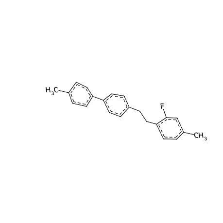 Cc1ccc(-c2ccc(CCc3ccc(C)cc3F)cc2)cc1